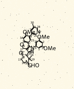 COc1cc(OC)cc(-n2nc(C3[S+]([O-])CCN(C=O)C3(C)C)c3c2-c2cc(-c4cncc(C)c4)c(OC)cc2OC3)c1